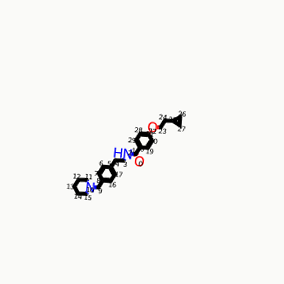 O=C(NCCc1ccc(CN2CCCCC2)cc1)c1ccc(OCCC2CC2)cc1